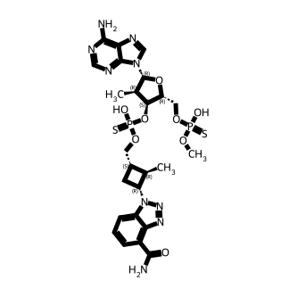 COP(O)(=S)OC[C@H]1O[C@@H](n2cnc3c(N)ncnc32)[C@H](C)[C@@H]1OP(O)(=S)OC[C@H]1C[C@@H](n2nnc3c(C(N)=O)cccc32)[C@@H]1C